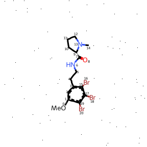 COc1cc(CCNC(=O)[C@@H]2CCCN2C)c(Br)c(Br)c1Br